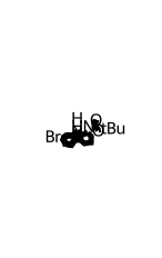 CC(C)(C)OC(=O)NC1CCCc2c1[nH]c1cc(Br)ccc21